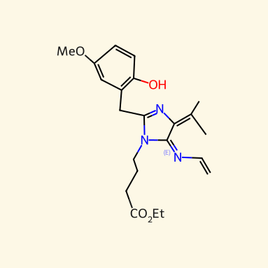 C=C/N=C1\C(=C(C)C)N=C(Cc2cc(OC)ccc2O)N1CCCC(=O)OCC